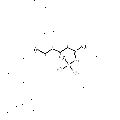 C[SiH](CCCCN)O[Si](C)(C)C